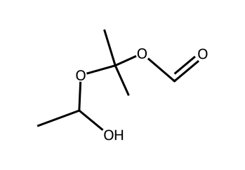 CC(O)OC(C)(C)OC=O